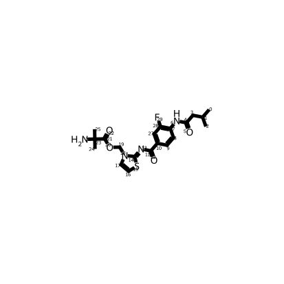 CC(C)CC(=O)Nc1ccc(C(=O)N=c2sccn2COC(=O)C(C)(C)N)cc1F